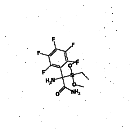 CC[Si](OC)(OC)C(N)(C(N)=O)c1c(F)c(F)c(F)c(F)c1F